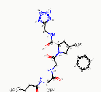 CC[C@H](C)[C@H](NC(=O)CCC(=O)O)C(=O)NCC(=O)N1C[C@H](OC(C)=O)C[C@H]1C(=O)NCc1nn[nH]n1.c1ccccc1